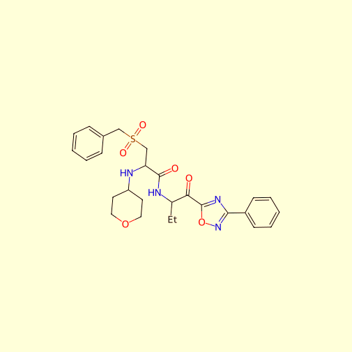 CCC(NC(=O)C(CS(=O)(=O)Cc1ccccc1)NC1CCOCC1)C(=O)c1nc(-c2ccccc2)no1